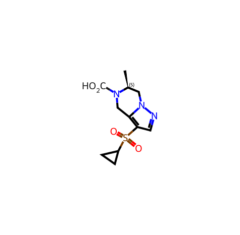 C[C@H]1Cn2ncc(S(=O)(=O)C3CC3)c2CN1C(=O)O